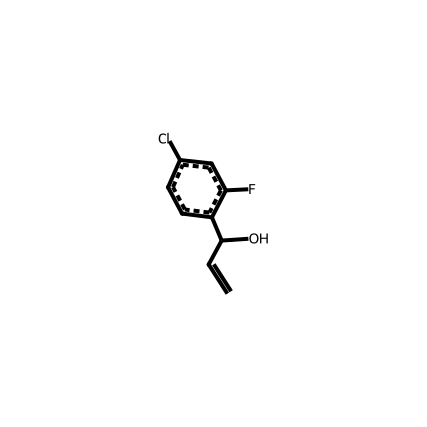 C=CC(O)c1ccc(Cl)cc1F